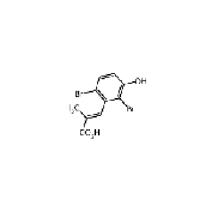 CC(=Cc1c(Br)ccc(O)c1Br)C(=O)O